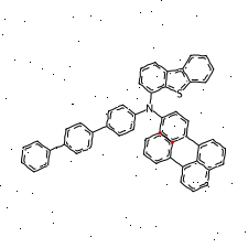 c1ccc(-c2ccc(-c3ccc(N(c4ccc(-c5cccc6cccc(-c7ccccc7)c56)cc4)c4cccc5c4sc4ccccc45)cc3)cc2)cc1